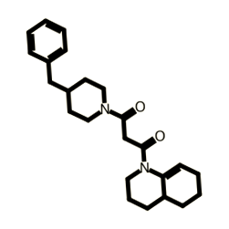 O=C(CC(=O)N1CCCC2CCCC=C21)N1CCC(Cc2ccccc2)CC1